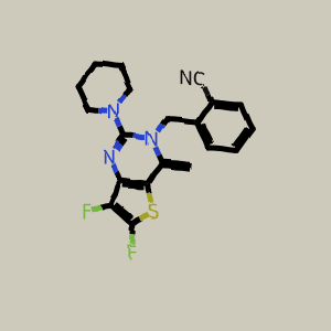 C=C1c2sc(F)c(F)c2N=C(N2CCCCC2)N1Cc1ccccc1C#N